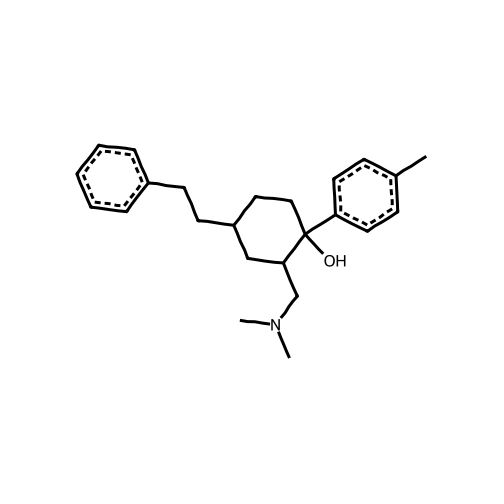 Cc1ccc(C2(O)CCC(CCc3ccccc3)CC2CN(C)C)cc1